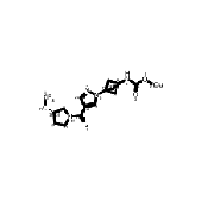 CC(C)(C)OC(=O)NC12CC(n3cc(C(=S)N4CC[C@H](OC(F)(F)F)C4)cn3)(C1)C2